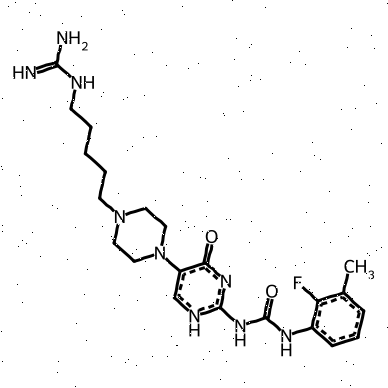 Cc1cccc(NC(=O)Nc2nc(=O)c(N3CCN(CCCCCNC(=N)N)CC3)c[nH]2)c1F